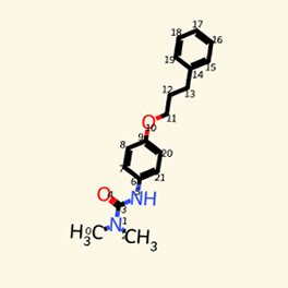 CN(C)C(=O)Nc1ccc(OCCCc2ccccc2)cc1